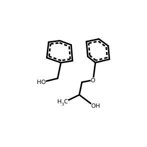 CC(O)COc1ccccc1.OCc1ccccc1